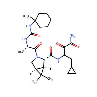 CC(C)(C)[C@H](NC(=O)NC1(C(=O)O)CCCCC1)C(=O)N1C[C@H]2[C@@H]([C@H]1C(=O)NC(CC1CC1)C(=O)C(N)=O)C2(C)C